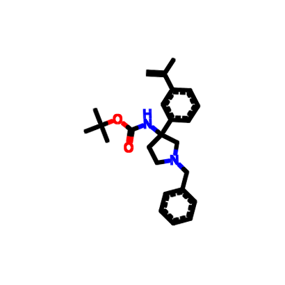 C=C(C)c1cccc(C2(NC(=O)OC(C)(C)C)CCN(Cc3ccccc3)C2)c1